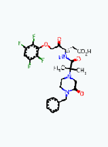 CC(C)(C(=O)N[C@@H](CC(=O)O)C(=O)COc1c(F)c(F)cc(F)c1F)N1CCN(Cc2ccccc2)C(=O)C1